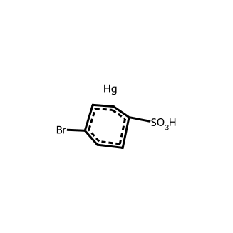 O=S(=O)(O)c1ccc(Br)cc1.[Hg]